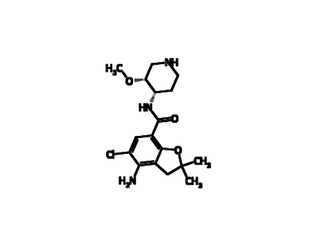 CO[C@@H]1CNCC[C@@H]1NC(=O)c1cc(Cl)c(N)c2c1OC(C)(C)C2